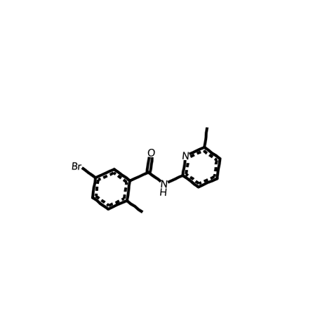 Cc1cccc(NC(=O)c2cc(Br)ccc2C)n1